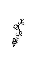 C=C(C)C(=O)OCC12CCCC(CC(CCOC(C)C(=O)OCC(F)(F)C(F)(F)C(F)(F)F)C1)C2